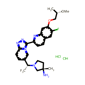 CO[C@@H](C)COc1cc2nc(-c3nnc4ccc([C@H](N5CC[C@](C)(N)C5)C(F)(F)F)cn34)ccc2cc1F.Cl.Cl